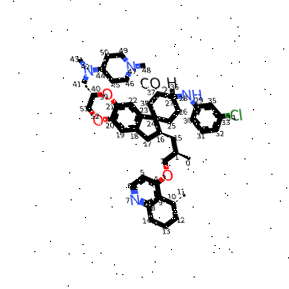 C[C@@H](COc1ccnc2c1[C@H](C)CCC2)C[C@H]1Cc2cc3c(cc2C12CCC(Nc1cccc(Cl)c1)(C(=O)O)CC2)O[C@@H](CN(C)C1CCN(C)CC1)CO3